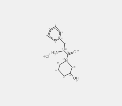 Cl.N[C@@H](Cc1ccccc1)C(=O)N1CCCC(O)C1